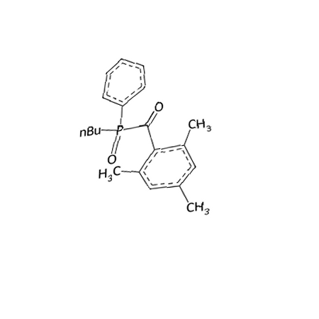 CCCCP(=O)(C(=O)c1c(C)cc(C)cc1C)c1ccccc1